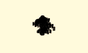 CC#CC1(N)C(O)[C@@H]([C@H](C)OP(=O)(O)OP(=O)(O)OP(=O)(O)O)O[C@H]1n1cc(F)c(=O)[nH]c1=O